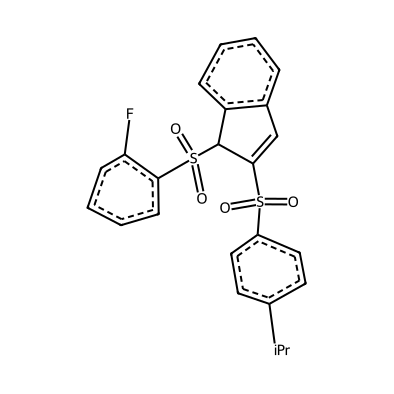 CC(C)c1ccc(S(=O)(=O)C2=Cc3ccccc3C2S(=O)(=O)c2ccccc2F)cc1